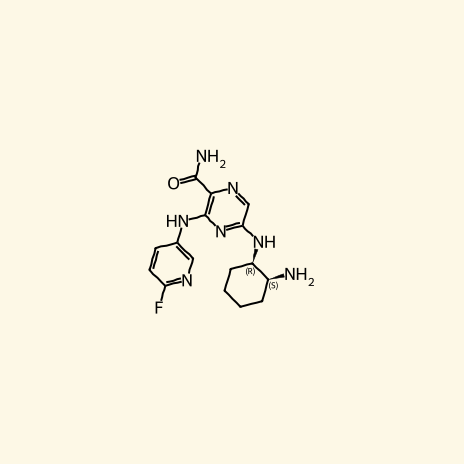 NC(=O)c1ncc(N[C@@H]2CCCC[C@@H]2N)nc1Nc1ccc(F)nc1